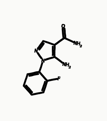 NC(=O)c1cnn(-c2ccccc2F)c1N